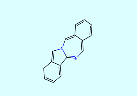 C1=CCc2cn3c(c2=C1)=NC=c1ccccc1=C3